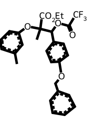 CCOC(=O)C(C)(Oc1cccc(C)c1)C(OC(=O)C(F)(F)F)c1ccc(OCc2ccccc2)cc1